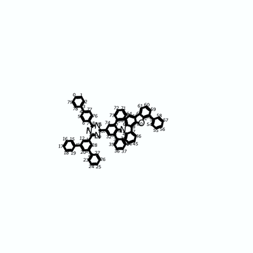 c1ccc(-c2ccc(-c3nc(-c4cc(-c5ccccc5)cc(-c5ccccc5)c4)nc(-c4cc(-c5ccccc5)c(-n5c6ccccc6c6c7oc8c(-c9ccccc9)cccc8c7ccc65)c(-c5ccccc5)c4)n3)cc2)cc1